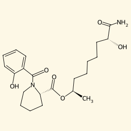 C[C@H](CCCCC[C@@H](O)C(N)=O)OC(=O)[C@@H]1CCCCN1C(=O)c1ccccc1O